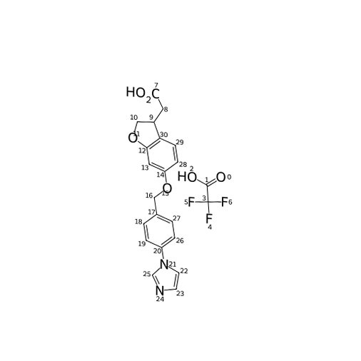 O=C(O)C(F)(F)F.O=C(O)CC1COc2cc(OCc3ccc(-n4ccnc4)cc3)ccc21